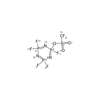 O=S(=O)(OP1(F)=NP(F)(F)=NP(F)(F)=N1)C(F)(F)F